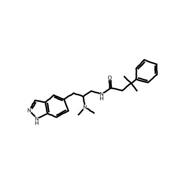 CN(C)C(CNC(=O)CC(C)(C)c1ccccc1)Cc1ccc2[nH]ncc2c1